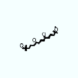 COC(C)(C)CCCC(=O)CCCC(=O)CCCC(C)(C)C=O